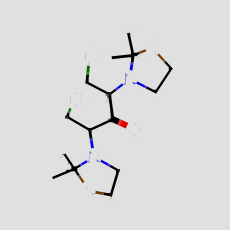 CC1(C)SCCN1C(CCl)C(=O)C(CCl)N1CCSC1(C)C